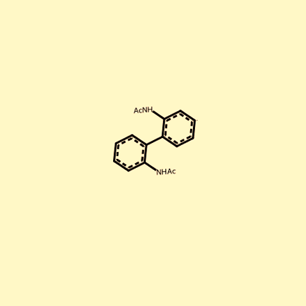 CC(=O)Nc1c[c]ccc1-c1ccccc1NC(C)=O